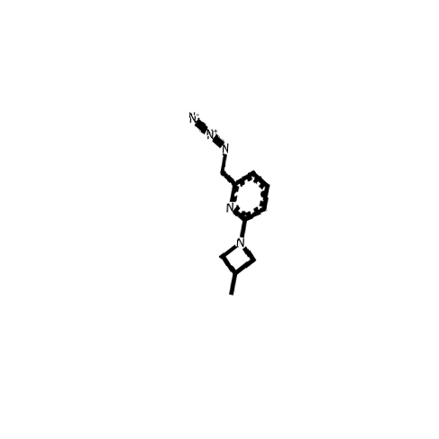 CC1CN(c2cccc(CN=[N+]=[N-])n2)C1